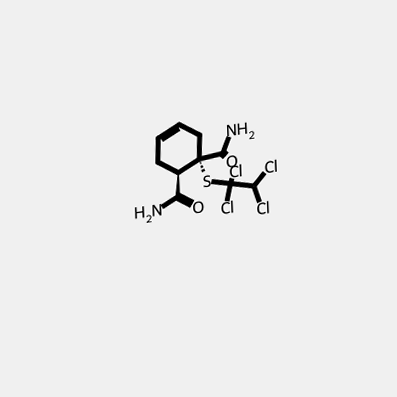 NC(=O)[C@H]1CC=CC[C@@]1(SC(Cl)(Cl)C(Cl)Cl)C(N)=O